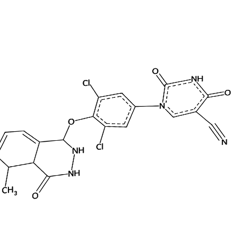 CC1C=CC=C2C(Oc3c(Cl)cc(-n4cc(C#N)c(=O)[nH]c4=O)cc3Cl)NNC(=O)C21